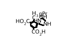 C1CNCCN1.CCCO.Cc1ccc(C(=O)O)cc1C(=O)O